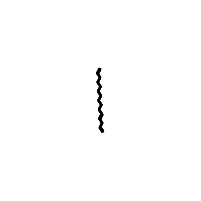 C=CCC=CCCCCCCCCC=C